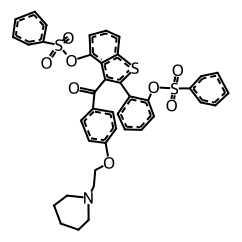 O=C(c1ccc(OCCN2CCCCC2)cc1)c1c(-c2ccccc2OS(=O)(=O)c2ccccc2)sc2cccc(OS(=O)(=O)c3ccccc3)c12